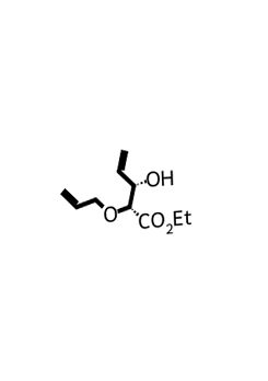 C=CCO[C@@H](C(=O)OCC)[C@@H](O)C=C